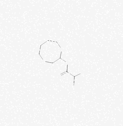 CC(Cl)C(=O)OC1CSCCCCO1